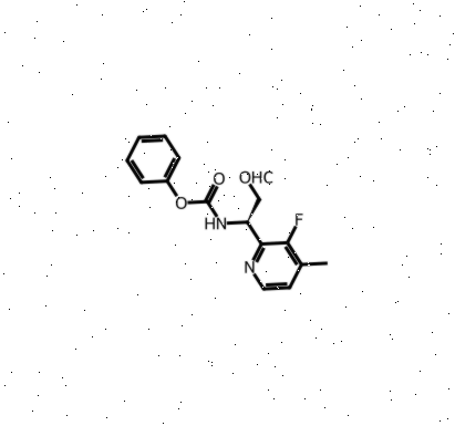 Cc1ccnc([C@H](CC=O)NC(=O)Oc2ccccc2)c1F